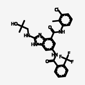 Cc1c(Cl)cccc1NC(=O)c1cc(NC(=O)c2ccccc2C(F)(F)F)cc2[nH]c(NCC(C)(C)O)nc12